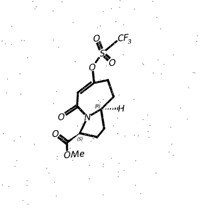 COC(=O)[C@@H]1CC[C@@H]2CCC(OS(=O)(=O)C(F)(F)F)=CC(=O)N21